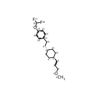 COCC=C[C@H]1CC[C@H](CCc2ccc(OC(F)F)cc2)CC1